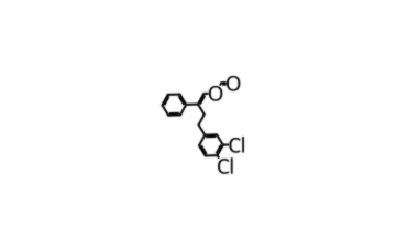 O=CO/C=C(\CCc1ccc(Cl)c(Cl)c1)c1ccccc1